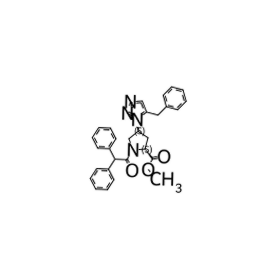 COC(=O)[C@@H]1C[C@H](n2nncc2Cc2ccccc2)CN1C(=O)C(c1ccccc1)c1ccccc1